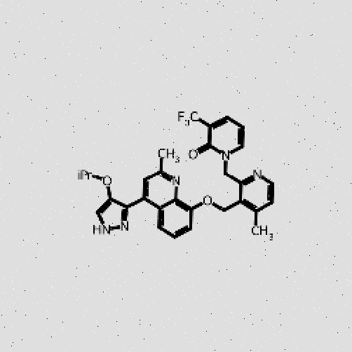 Cc1cc(-c2n[nH]cc2OC(C)C)c2cccc(OCc3c(C)ccnc3Cn3cccc(C(F)(F)F)c3=O)c2n1